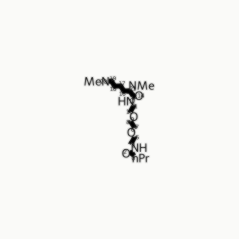 CCCC(=O)NCCOCCOCCNC(=O)C(CCCCNC)NC